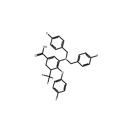 O=C(O)C1=CC(N(Cc2ccc(F)cc2)Cc2ccc(F)cc2)=C(Oc2ccc(F)cc2)C(C(F)(F)F)C1